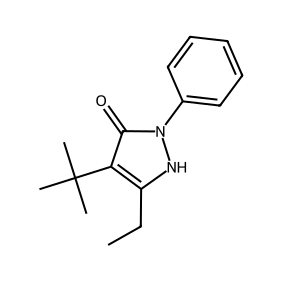 CCc1[nH]n(-c2ccccc2)c(=O)c1C(C)(C)C